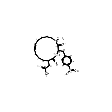 CN1CCCCC=CCCCC(CC(=O)O)C(=O)NC(Cc2ccc([N+](=O)[O-])cc2)C1=O